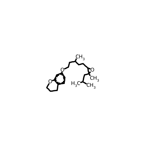 CC(C)CC1(C)OC1CCC(C)CCOc1ccc2c(c1)OCCC2